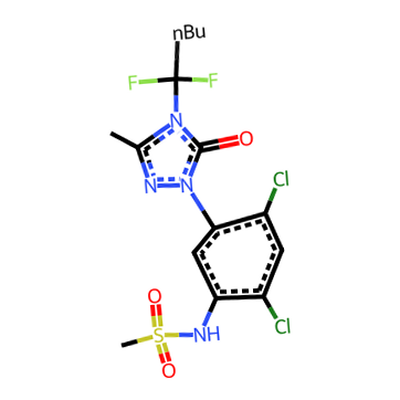 CCCCC(F)(F)n1c(C)nn(-c2cc(NS(C)(=O)=O)c(Cl)cc2Cl)c1=O